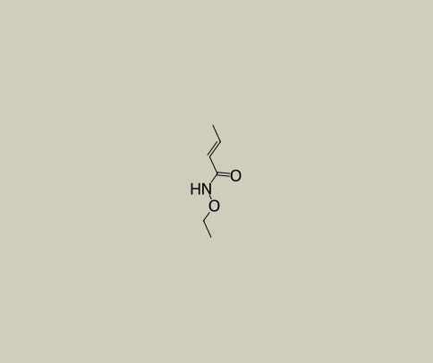 CC=CC(=O)NOCC